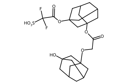 O=C(COC12CC3CC(CC(O)(C3)C1)C2)OC12CC3CC(C1)CC(OC(=O)C(F)(F)S(=O)(=O)O)(C3)C2